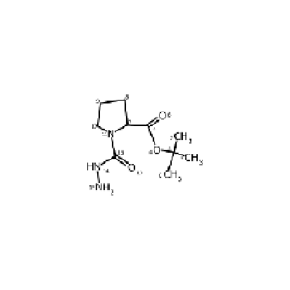 CC(C)(C)OC(=O)C1CCCN1C(=O)NN